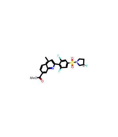 COC(=O)c1ccc2c(C)cc(-c3c(F)cc(S(=O)(=O)N4CC[C@@H](F)C4)cc3F)nc2c1